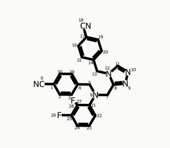 N#Cc1ccc(CN(Cc2nncn2Cc2ccc(C#N)cc2)c2cccc(F)c2F)cc1